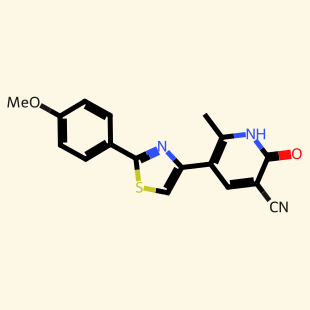 COc1ccc(-c2nc(-c3cc(C#N)c(=O)[nH]c3C)cs2)cc1